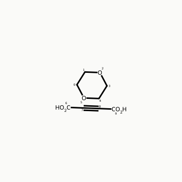 C1COCCO1.O=C(O)C#CC(=O)O